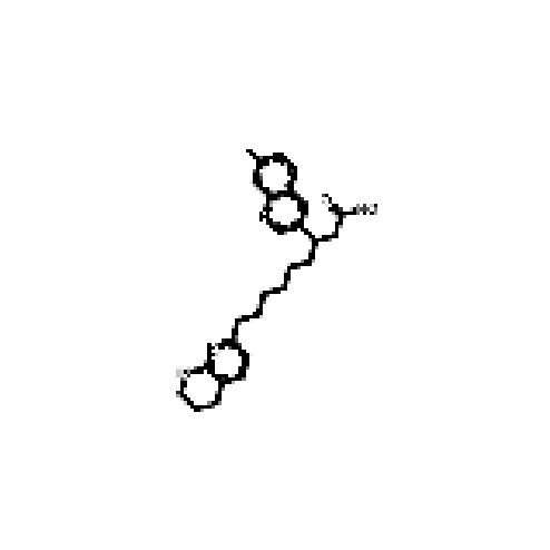 O=NC(=O)CC(CCCCCCc1ccc2c(n1)NCCC2)c1cnc2cc(F)ccc2c1